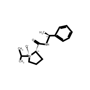 CC(C)[N@+]1([O-])CCC[C@H]1C(=O)N[C@@H](C)c1ccccc1